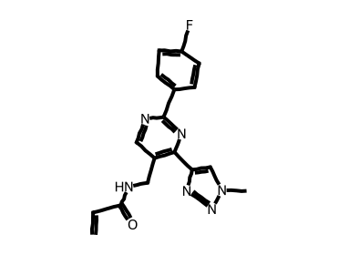 C=CC(=O)NCc1cnc(-c2ccc(F)cc2)nc1-c1cn(C)nn1